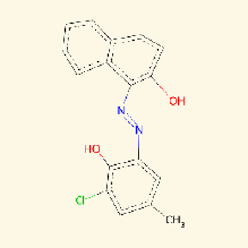 Cc1cc(Cl)c(O)c(N=Nc2c(O)ccc3ccccc23)c1